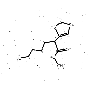 CCCCCC(C(=O)OC)C1=CSSS1